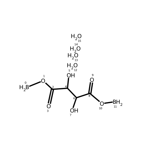 BOC(=O)C(O)C(O)C(=O)OB.O.O.O.O